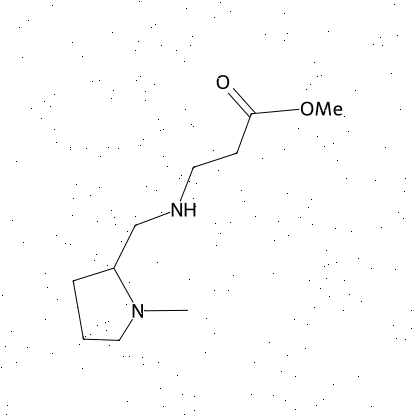 COC(=O)CCNCC1CCCN1C